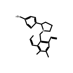 C=Cc1cc(C)c(C)c(/C=C\C)c1CN1CCCC1c1ccc(CCCC)cc1